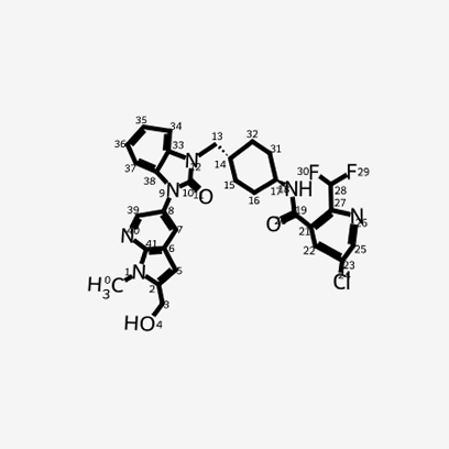 Cn1c(CO)cc2cc(-n3c(=O)n(C[C@H]4CC[C@H](NC(=O)c5cc(Cl)cnc5C(F)F)CC4)c4ccccc43)cnc21